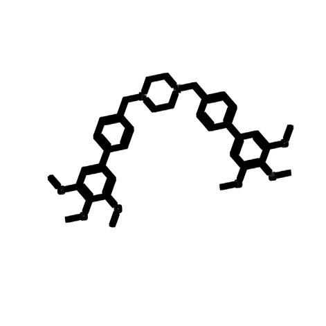 COc1cc(-c2ccc(CN3CCN(Cc4ccc(-c5cc(OC)c(OC)c(OC)c5)cc4)CC3)cc2)cc(OC)c1OC